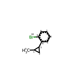 CC1CC1c1ccccc1Br